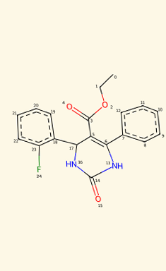 CCOC(=O)C1=C(c2ccccc2)NC(=O)NC1c1ccccc1F